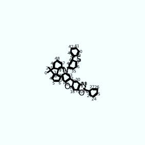 CC1(C)c2ccccc2-c2c(N(c3ccc4oc5cc6oc(-c7ccccc7)nc6cc5c4c3)c3ccc4sc5ccccc5c4c3)cccc21